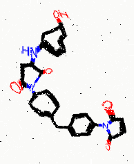 O=C1C=CC(=O)N1c1ccc(Cc2ccc(N3C(=O)CC(Nc4cccc(O)c4)C3=O)cc2)cc1